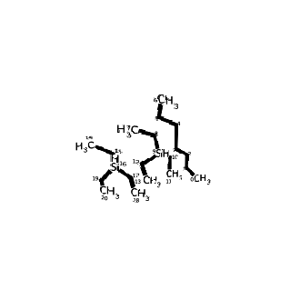 CCCCCCC.CC[SiH](CC)CC.CC[SiH](CC)CC